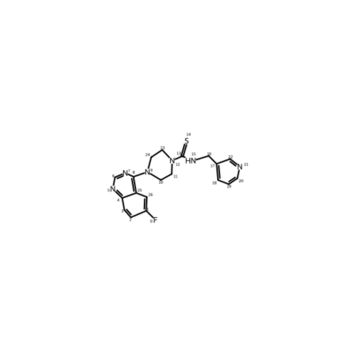 Fc1ccc2ncnc(N3CCN(C(=S)NCc4cccnc4)CC3)c2c1